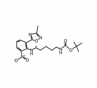 Cc1noc(-c2cccc([N+](=O)[O-])c2N[C@@H](C)CCCCNC(=O)OC(C)(C)C)n1